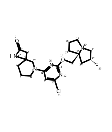 O=C1CC2(CCCN(c3cc(Cl)nc(OC[C@@]45CCCN4C[C@H](F)C5)n3)C2)N1